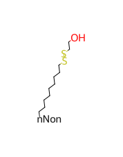 CCCCCCCCCCCCCCCCCCSSCCO